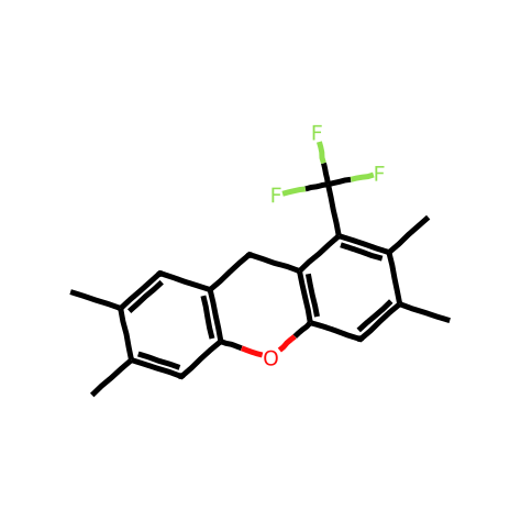 Cc1cc2c(cc1C)Oc1cc(C)c(C)c(C(F)(F)F)c1C2